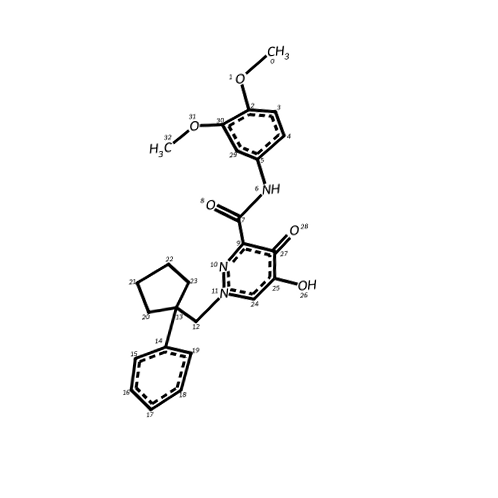 COc1ccc(NC(=O)c2nn(CC3(c4ccccc4)CCCC3)cc(O)c2=O)cc1OC